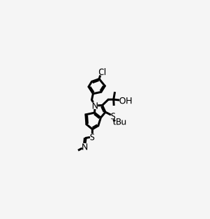 C/N=C/Sc1ccc2c(c1)c(SC(C)(C)C)c(CC(C)(C)O)n2Cc1ccc(Cl)cc1